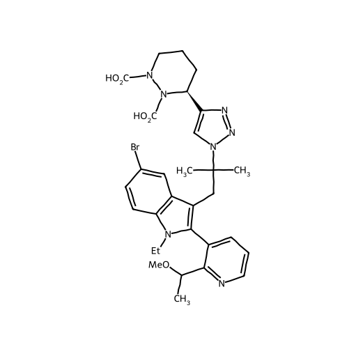 CCn1c(-c2cccnc2C(C)OC)c(CC(C)(C)n2cc([C@@H]3CCCN(C(=O)O)N3C(=O)O)nn2)c2cc(Br)ccc21